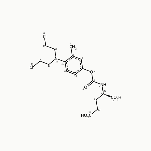 Cc1cc(OC(=O)N[C@H](CCC(=O)O)C(=O)O)ccc1N(CCCl)CCCl